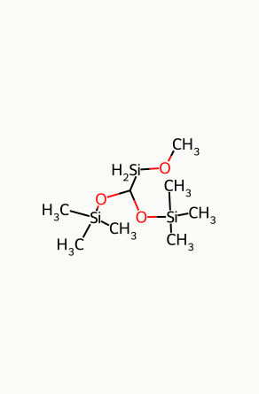 CO[SiH2]C(O[Si](C)(C)C)O[Si](C)(C)C